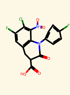 O=C(O)C1Cc2cc(F)c(Cl)c([N+](=O)[O-])c2N(c2ccc(F)cc2)C1=O